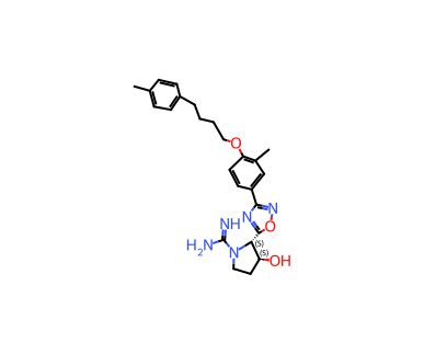 Cc1ccc(CCCCOc2ccc(-c3noc([C@@H]4[C@@H](O)CCN4C(=N)N)n3)cc2C)cc1